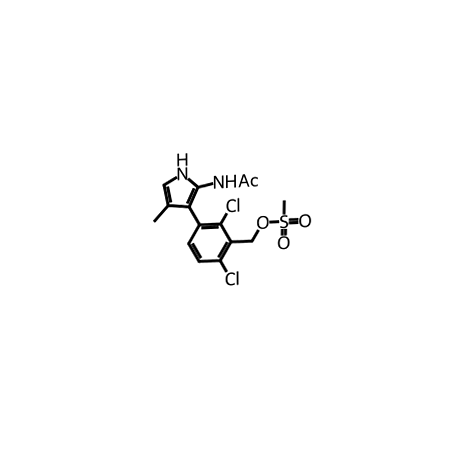 CC(=O)Nc1[nH]cc(C)c1-c1ccc(Cl)c(COS(C)(=O)=O)c1Cl